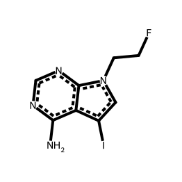 Nc1ncnc2c1c(I)cn2CCF